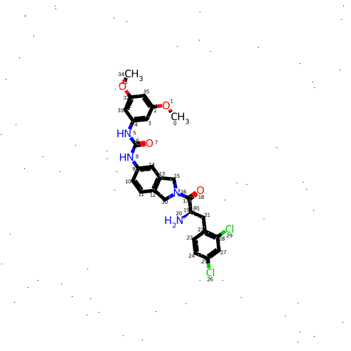 COc1cc(NC(=O)Nc2ccc3c(c2)CN(C(=O)[C@H](N)Cc2ccc(Cl)cc2Cl)C3)cc(OC)c1